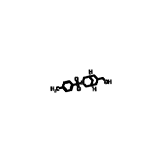 Cc1ccc(S(=O)(=O)N2C[C@@H]3CC(CO)C[C@@H](C3)C2)cc1